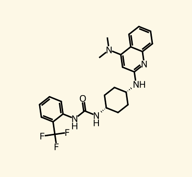 CN(C)c1cc(N[C@H]2CC[C@@H](NC(=O)Nc3ccccc3C(F)(F)F)CC2)nc2ccccc12